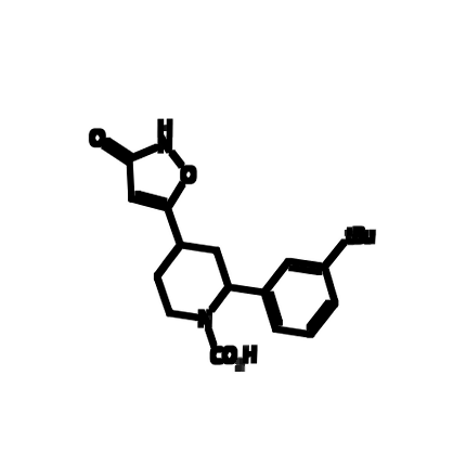 CC(C)(C)c1cccc(C2CC(c3cc(=O)[nH]o3)CCN2C(=O)O)c1